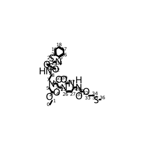 CCOC(=O)CN(CCNS(=O)(=O)c1nc2ccccc2s1)C(=O)Cn1ccc(NC(=O)OCCSC)nc1=O